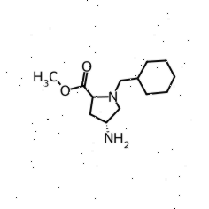 COC(=O)C1C[C@@H](N)CN1CC1CCCCC1